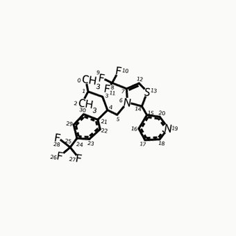 CC(C)CC(CN1C(C(F)(F)F)=CSC1c1cccnc1)c1ccc(C(F)(F)F)cc1